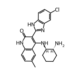 Cc1ccc2[nH]c(=O)c(-c3nc4cc(Cl)ccc4[nH]3)c(N[C@@H]3CCCC[C@H]3N)c2c1